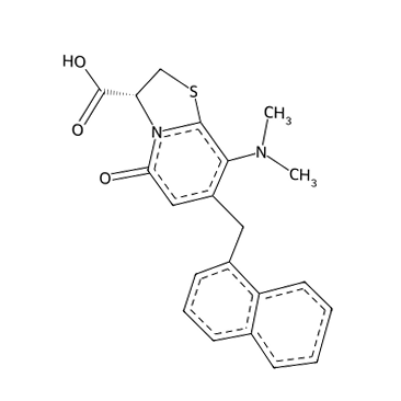 CN(C)c1c(Cc2cccc3ccccc23)cc(=O)n2c1SC[C@H]2C(=O)O